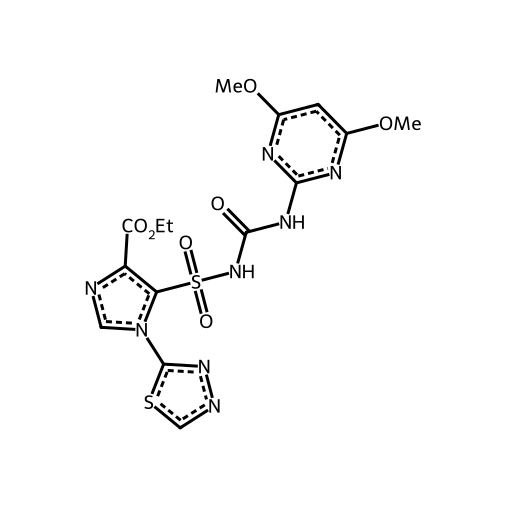 CCOC(=O)c1ncn(-c2nncs2)c1S(=O)(=O)NC(=O)Nc1nc(OC)cc(OC)n1